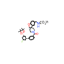 CC1(C)OB(c2cc(F)cc(-c3cccc(C(=O)N4CCC5(CC4)COc4ccc(CNC(=O)O)cc45)c3)c2)OC1(C)C